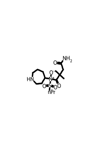 CCCS(=O)(=O)[N+]([O-])(C(=O)C(C)(C)CC(N)=O)C1CCCNCC1